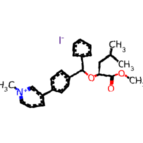 COC(=O)[C@H](CC(C)C)OC(c1ccccc1)c1ccc(-c2ccc[n+](C)c2)cc1.[I-]